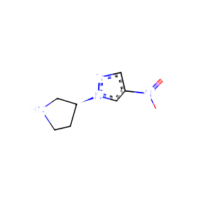 O=[N+]([O-])c1cnn([C@H]2CCNC2)c1